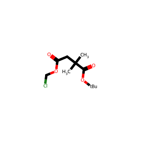 CC(C)(C)OC(=O)C(C)(C)CC(=O)OCCl